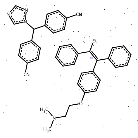 CC/C(=C(\c1ccccc1)c1ccc(OCCN(C)C)cc1)c1ccccc1.N#Cc1ccc(C(c2ccc(C#N)cc2)n2cncn2)cc1